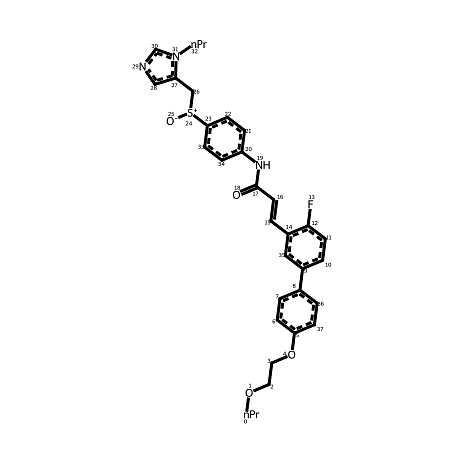 CCCOCCOc1ccc(-c2ccc(F)c(/C=C/C(=O)Nc3ccc([S+]([O-])Cc4cncn4CCC)cc3)c2)cc1